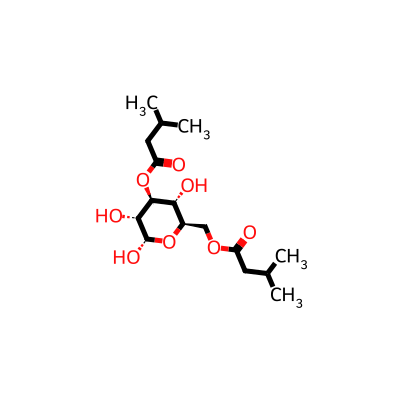 CC(C)CC(=O)OC[C@H]1O[C@H](O)[C@H](O)[C@@H](OC(=O)CC(C)C)[C@@H]1O